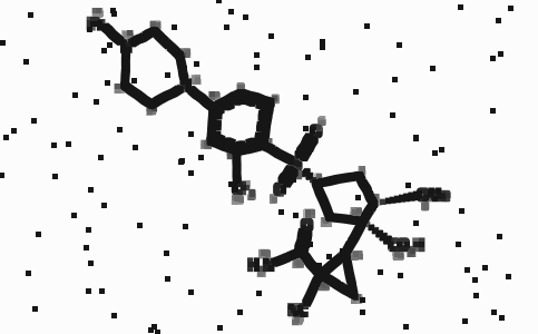 CO[C@H]1C[C@@H](S(=O)(=O)c2ccc(N3CCN(C(C)C)CC3)cc2C(F)(F)F)C[C@]1(C(=O)O)C1CC1(C#N)C(N)=O